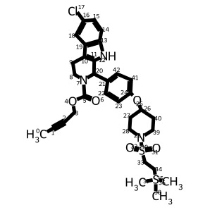 CC#CCOC(=O)N1CCc2c([nH]c3ccc(Cl)cc23)C1c1ccc(OC2CCN(S(=O)(=O)CCS(C)(C)C)CC2)cc1